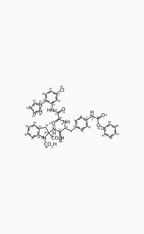 O=C(Nc1ccc(CC(NC(=O)C(=O)Nc2cc(Cl)ccc2-n2cnnn2)C(=O)NC2(C(=O)O)Cc3ccccc3N2C(=O)O)cc1)Oc1ccccc1